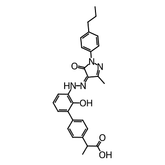 CCCc1ccc(N2N=C(C)C(=NNc3cccc(-c4ccc(C(C)C(=O)O)cc4)c3O)C2=O)cc1